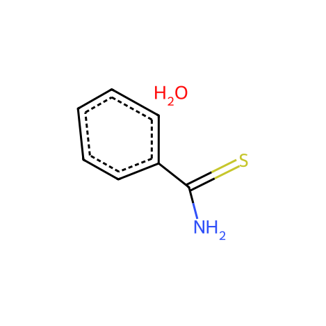 NC(=S)c1ccccc1.O